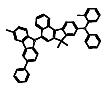 Cc1ccc2c(c1)c1cc(-c3ccccc3)ccc1n2-c1cc2c(c3ccccc13)-c1ccc(N(c3ccccc3)c3ccccc3C)cc1C2(C)C